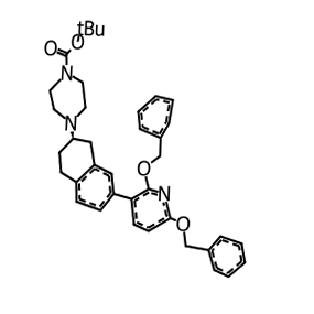 CC(C)(C)OC(=O)N1CCN([C@@H]2CCc3ccc(-c4ccc(OCc5ccccc5)nc4OCc4ccccc4)cc3C2)CC1